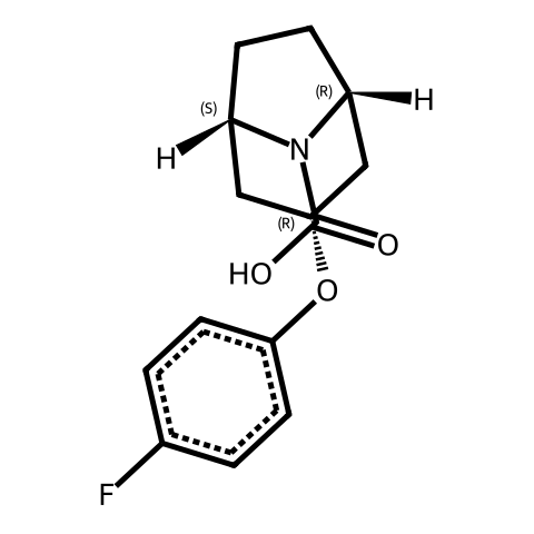 O=C(O)N1[C@@H]2CC[C@H]1C[C@@H](Oc1ccc(F)cc1)C2